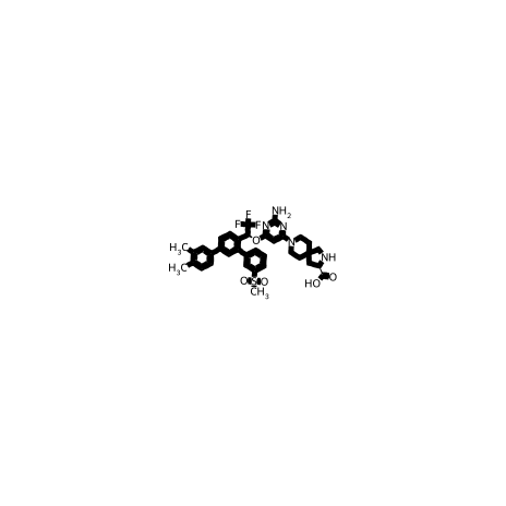 Cc1ccc(-c2ccc([C@@H](Oc3cc(N4CCC5(CC4)CN[C@H](C(=O)O)C5)nc(N)n3)C(F)(F)F)c(-c3cccc(S(C)(=O)=O)c3)c2)cc1C